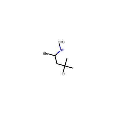 CCC(C)(C)CC(NC=O)C(C)(C)C